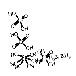 N#[C][Fe]([C]#N)([C]#N)([C]#N)([C]#N)[C]#N.[BiH3].[BiH3].[O]=[Cr](=[O])([OH])[OH].[O]=[Cr](=[O])([OH])[OH].[O]=[Cr](=[O])([OH])[OH]